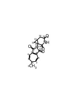 CC1C=CC2=C(C=C1)C(=O)N(C13CC1CC(=O)NC3=O)C2=O